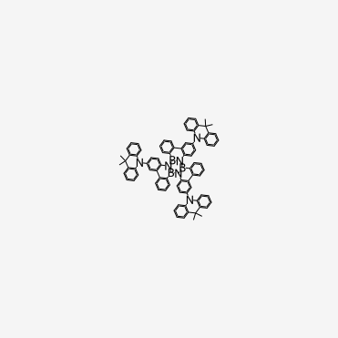 CC1(C)c2ccccc2N(c2ccc3c(c2)-c2ccccc2B2N3B3c4ccccc4-c4cc(N5c6ccccc6C(C)(C)c6ccccc65)ccc4N3B3c4ccccc4-c4cc(N5c6ccccc6C(C)(C)c6ccccc65)ccc4N23)c2ccccc21